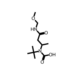 COCNC(=O)CC(C)N(C(=O)O)C(C)(C)C